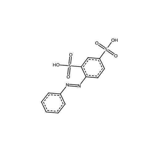 O=S(=O)(O)c1ccc(/N=N/c2ccccc2)c(S(=O)(=O)O)c1